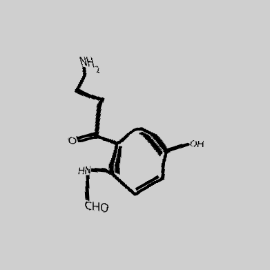 NCCC(=O)c1cc(O)ccc1NC=O